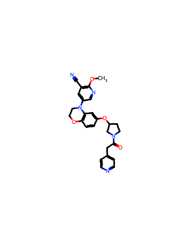 COc1ncc(N2CCOc3ccc(OC4CCN(C(=O)Cc5ccncc5)C4)cc32)cc1C#N